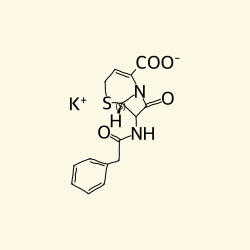 O=C(Cc1ccccc1)NC1C(=O)N2C(C(=O)[O-])=CCS[C@@H]12.[K+]